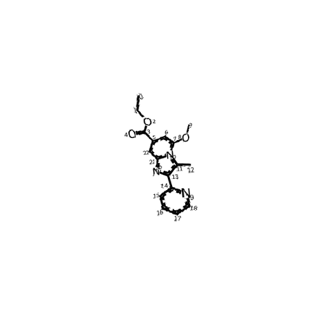 CCOC(=O)c1cc(OC)n2c(C)c(-c3ccccn3)nc2c1